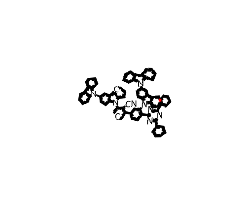 N#Cc1c(-c2ccc(-c3nc(-c4ccccc4)nc(-c4ccccc4)n3)c(-n3c4ccccc4c4cc(-n5c6ccccc6c6ccccc65)ccc43)c2)cccc1-n1c2ccccc2c2cc(-n3c4ccccc4c4ccccc43)ccc21